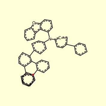 c1ccc(-c2ccc(N(c3ccc(-c4cccc(-c5ccccc5)c4-c4ccccc4-c4ccccc4)cc3)c3cccc4oc5ccccc5c34)cc2)cc1